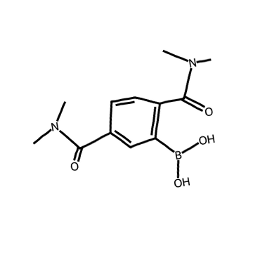 CN(C)C(=O)c1ccc(C(=O)N(C)C)c(B(O)O)c1